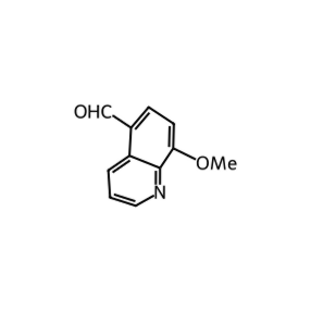 COc1ccc(C=O)c2cccnc12